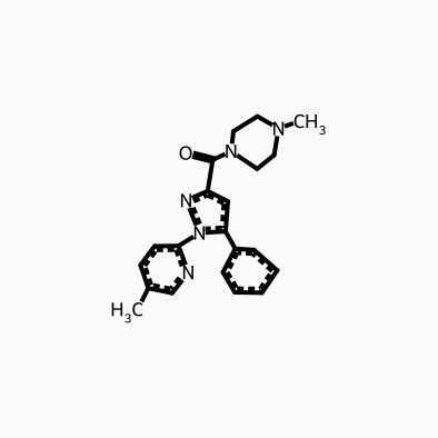 Cc1ccc(-n2nc(C(=O)N3CCN(C)CC3)cc2-c2ccccc2)nc1